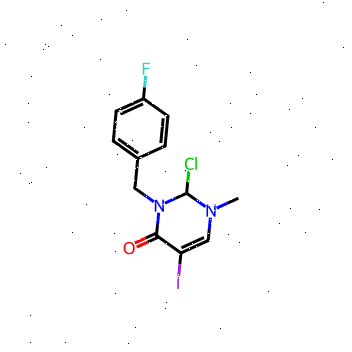 CN1C=C(I)C(=O)N(Cc2ccc(F)cc2)C1Cl